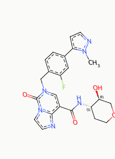 Cn1nccc1-c1ccc(Cn2cc(C(=O)N[C@H]3CCOC[C@@H]3O)c3nccn3c2=O)c(F)c1